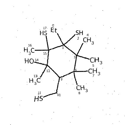 CCC1(S)C(C)(C)C(C)(C)C(CS)C(C)(O)C1(C)S